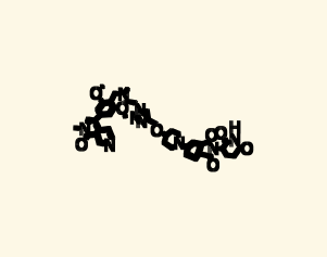 COc1cc(-c2cn(C)c(=O)c3cnccc23)cc(OC)c1CN(C)CCn1cc(COC2CCN(c3ccc4c(c3)C(=O)N(C3CCC(=O)NC3=O)C4=O)CC2)nn1